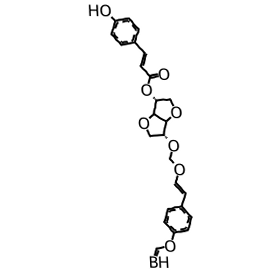 B=COc1ccc(/C=C/OCO[C@@H]2COC3C2OC[C@H]3OC(=O)/C=C/c2ccc(O)cc2)cc1